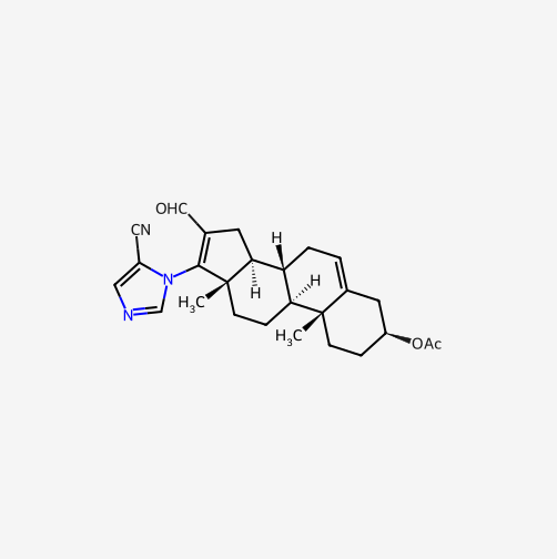 CC(=O)O[C@H]1CC[C@@]2(C)C(=CC[C@@H]3[C@@H]2CC[C@]2(C)C(n4cncc4C#N)=C(C=O)C[C@@H]32)C1